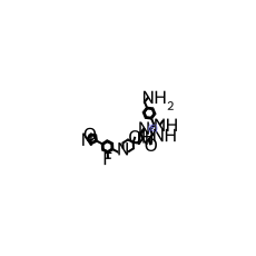 CN/C(=C1/N=CN(CC2(O)CCN(Cc3ccc(-c4cnoc4)cc3F)CC2)C(=O)C1=N)c1ccc(CN)cc1